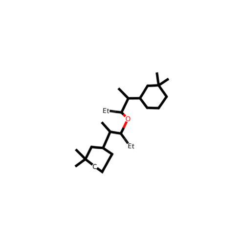 CCC(OC(CC)C(C)C1CCCC(C)(C)C1)C(C)C1CCCC(C)(C)C1